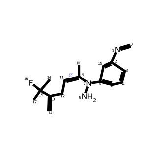 C=Nc1cccc(N(N)/C(C)=C\CC(=C)C(C)(C)F)c1